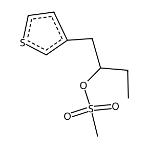 CCC(Cc1ccsc1)OS(C)(=O)=O